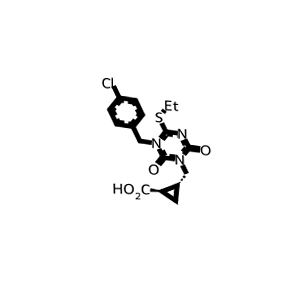 CCSc1nc(=O)n(C[C@@H]2C[C@H]2C(=O)O)c(=O)n1Cc1ccc(Cl)cc1